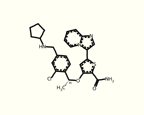 C[C@@H](Oc1cc(-c2cnc3ccccn23)sc1C(N)=O)c1ccc(CNC2CCCC2)cc1Cl